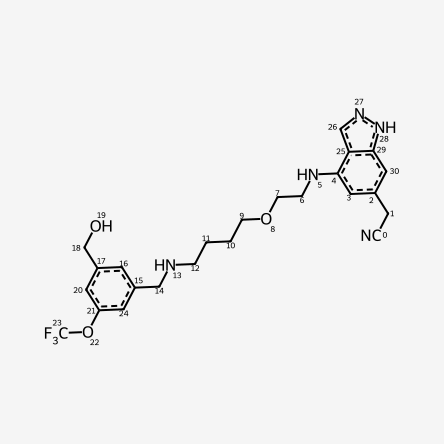 N#CCc1cc(NCCOCCCCNCc2cc(CO)cc(OC(F)(F)F)c2)c2cn[nH]c2c1